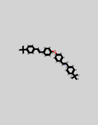 CC(C)(C)c1ccc(/C=C/c2ccc(Oc3ccc(/C=C/c4ccc(C(C)(C)C)cc4)cc3)cc2)cc1